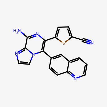 N#Cc1ccc(-c2nc(N)c3nccn3c2-c2ccc3ncccc3c2)s1